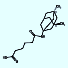 C[C@]12CC3CC(NC(=O)CCCCC(=O)O)(C1)C[C@@](C)(C3)C2